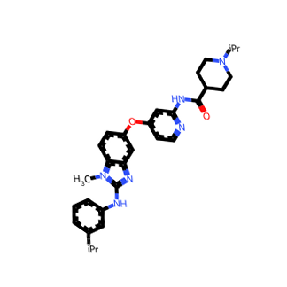 CC(C)c1cccc(Nc2nc3cc(Oc4ccnc(NC(=O)C5CCN(C(C)C)CC5)c4)ccc3n2C)c1